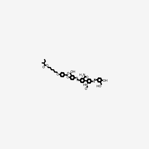 CCC(C)C(=O)OCCCCCCOc1ccc(C(=O)Oc2ccc(N=Nc3ccc(-c4ccc(N=Nc5ccc(O)c(CO)c5)cc4NC=O)c(C(N)=O)c3)cc2CO)cc1